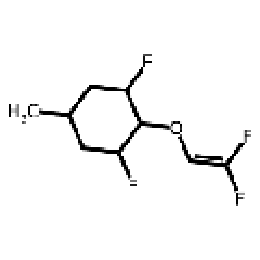 CC1CC(F)C(OC=C(F)F)C(F)C1